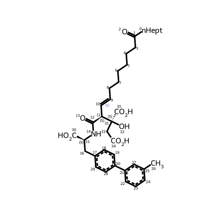 CCCCCCCC(=O)CCCCCC/C=C/[C@H](C(=O)N[C@@H](Cc1ccc(-c2cccc(C)c2)cc1)C(=O)O)[C@@](O)(CC(=O)O)C(=O)O